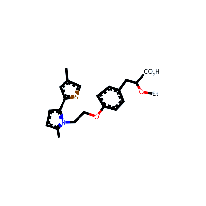 CCOC(Cc1ccc(OCCn2c(C)ccc2-c2cc(C)cs2)cc1)C(=O)O